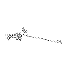 CCCCCCCCCCCCCCCCSCC(C(N)=O)C(C)OP(=O)(O)OCC[N+](C)(C)C